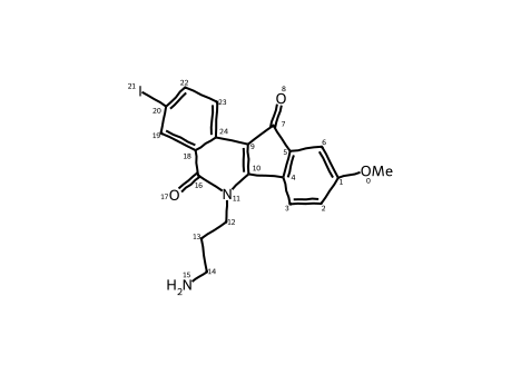 COc1ccc2c(c1)C(=O)c1c-2n(CCCN)c(=O)c2cc(I)ccc12